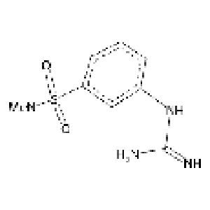 CNS(=O)(=O)c1cccc(NC(=N)N)c1